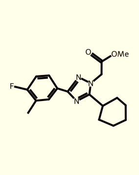 COC(=O)Cn1nc(-c2ccc(F)c(C)c2)nc1C1CCCCC1